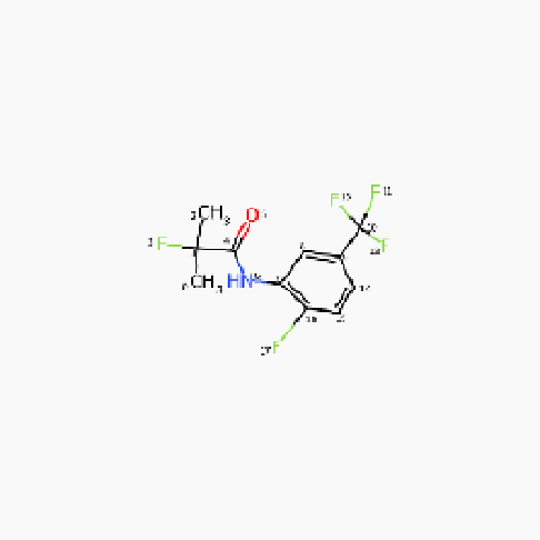 CC(C)(F)C(=O)Nc1cc(C(F)(F)F)ccc1F